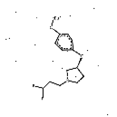 CC(C)(C)Oc1ccc(O[C@H]2CCN(CCC(F)F)C2)cc1